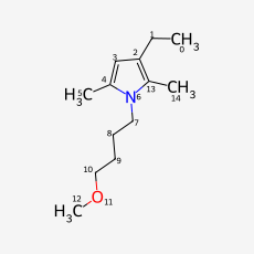 CCc1cc(C)n(CCCCOC)c1C